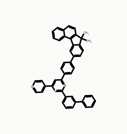 CC1(C)c2ccc(-c3ccc(-c4cc(-c5ccncc5)nc(-c5cccc(-c6ccccc6)c5)n4)cc3)cc2-c2c1ccc1ccccc21